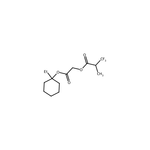 CCC1(OC(=O)COC(=O)C(C)C(F)(F)F)CCCCC1